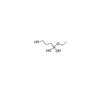 CCO[Si](O)(O)CCCS